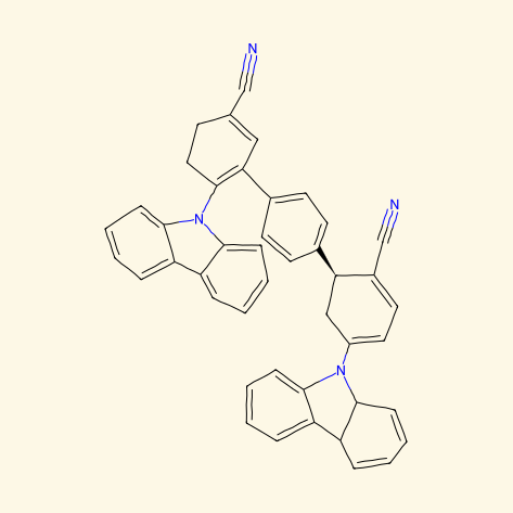 N#CC1=CC(c2ccc([C@@H]3CC(N4c5ccccc5C5C=CC=CC54)=CC=C3C#N)cc2)=C(n2c3ccccc3c3ccccc32)CC1